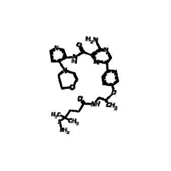 BSC(C)(C)CCC(=O)NCC(C)Oc1ccc(-c2cnc(N)c(C(=O)Nc3cnccc3N3CCOCC3)n2)cc1